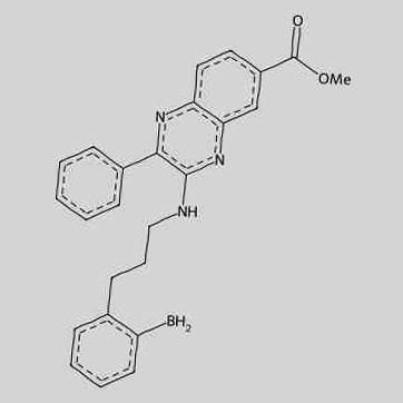 Bc1ccccc1CCCNc1nc2cc(C(=O)OC)ccc2nc1-c1ccccc1